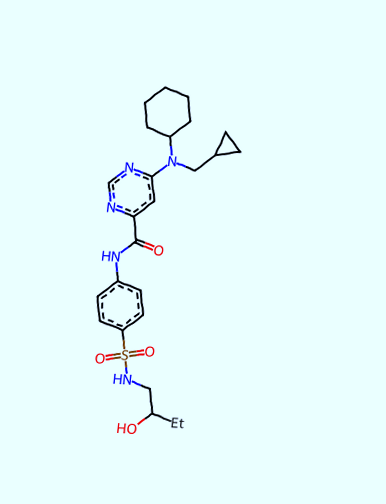 CCC(O)CNS(=O)(=O)c1ccc(NC(=O)c2cc(N(CC3CC3)C3CCCCC3)ncn2)cc1